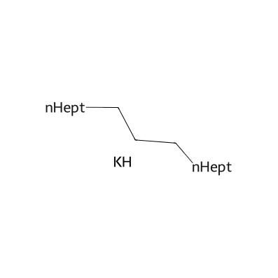 [CH2]CCCCCCCCCCCCCCCC.[KH]